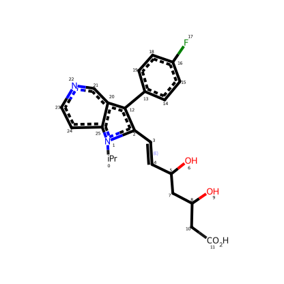 CC(C)n1c(/C=C/C(O)CC(O)CC(=O)O)c(-c2ccc(F)cc2)c2cnccc21